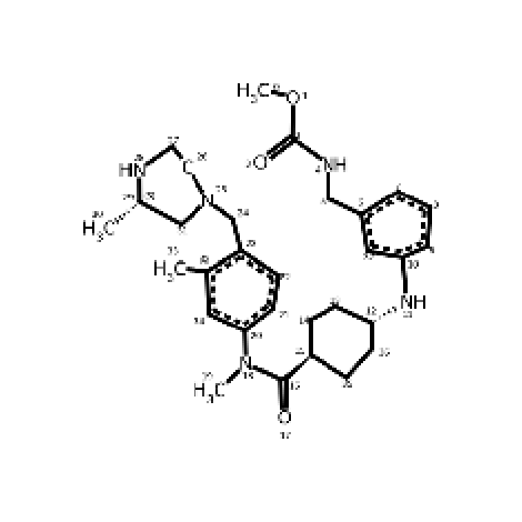 COC(=O)NCc1cccc(N[C@H]2CC[C@H](C(=O)N(C)c3ccc(CN4CCN[C@@H](C)C4)c(C)c3)CC2)c1